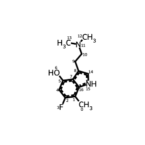 Cc1c(F)cc(O)c2c(CCN(C)C)c[nH]c12